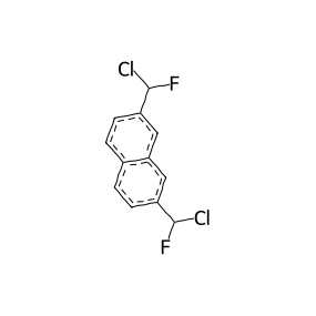 FC(Cl)c1ccc2ccc(C(F)Cl)cc2c1